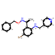 C=C(NOCc1ccccc1)c1cc(Br)ccc1NCc1ccncc1